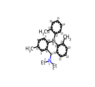 CCN(CC)Cc1cc(C)cc[c]1[Bi]([c]1ccccc1C)[c]1ccccc1C